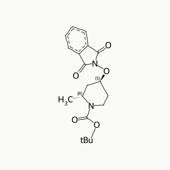 C[C@@H]1C[C@@H](ON2C(=O)c3ccccc3C2=O)CCN1C(=O)OC(C)(C)C